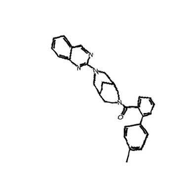 Cc1ccc(-c2ccccc2C(=O)N2CC3CC(C2)CN(c2ncc4ccccc4n2)C3)cc1